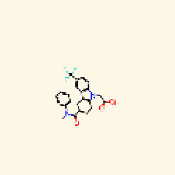 CN(C(=O)C1CCc2c(c3cc(C(F)(F)F)ccc3n2CC(=O)O)C1)c1ccccc1